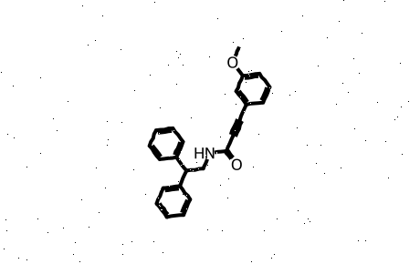 COc1cccc(C#CC(=O)NCC(c2ccccc2)c2ccccc2)c1